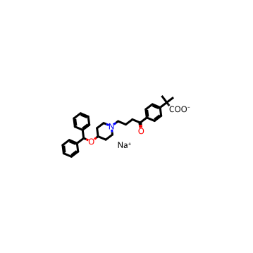 CC(C)(C(=O)[O-])c1ccc(C(=O)CCCN2CCC(OC(c3ccccc3)c3ccccc3)CC2)cc1.[Na+]